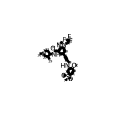 COc1ccc(S(C)(=O)=O)cc1NCC#Cc1cc(C(=O)NC2CCN(C)CC2C)c2ncn(CC(F)(F)F)c2c1